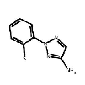 Nc1cnn(-c2ccccc2Cl)n1